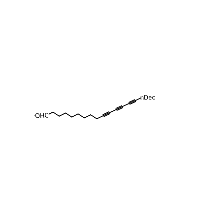 CCCCCCCCCCC#CC#CC#CCCCCCCCC[C]=O